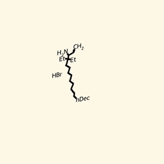 Br.C=CC(N)C(CC)(CC)CCCCCCCCCCCCCCCCCCC